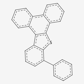 c1ccc(-c2cccc3c2sc2c4ccccc4c4ccccc4c32)cc1